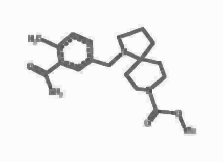 Cc1ccc(CN2CCCC23CCN(C(=O)OC(C)(C)C)CC3)cc1C(N)=O